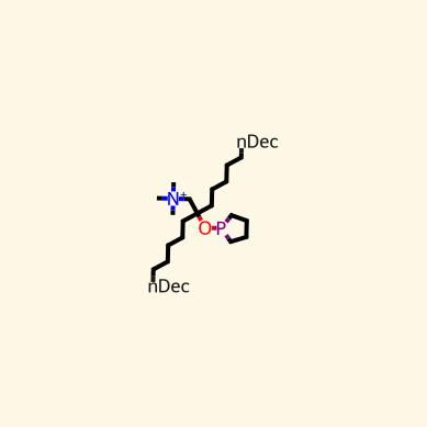 CCCCCCCCCCCCCCCC(CCCCCCCCCCCCCCC)(C[N+](C)(C)C)OP1CCCC1